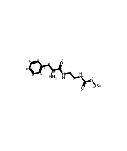 CC(C)(C)OC(=O)NCCNC(=O)[C@@H](N)Cc1ccccc1